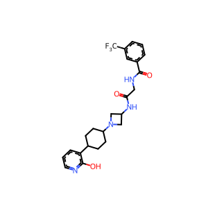 O=C(CNC(=O)c1cccc(C(F)(F)F)c1)NC1CN(C2CCC(c3cccnc3O)CC2)C1